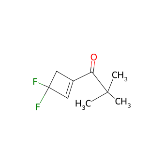 CC(C)(C)C(=O)C1=CC(F)(F)C1